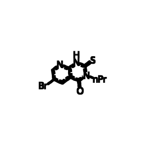 CCCn1c(=S)[nH]c2ncc(Br)cc2c1=O